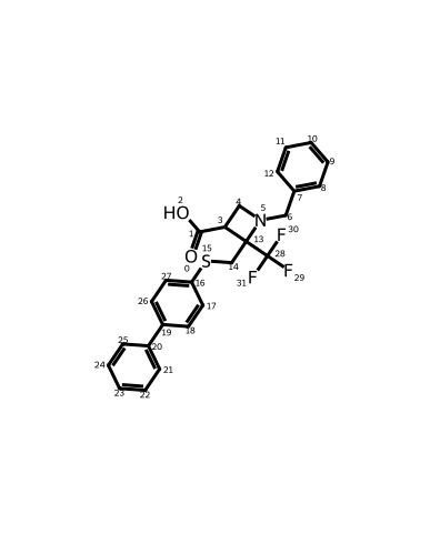 O=C(O)C1CN(Cc2ccccc2)C1(CSc1ccc(-c2ccccc2)cc1)C(F)(F)F